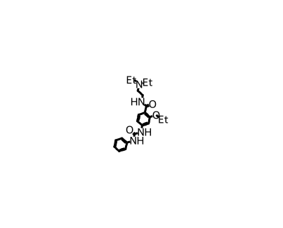 CCOc1cc(NC(=O)Nc2ccccc2)ccc1C(=O)NCCN(CC)CC